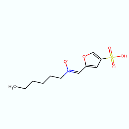 CCCCCC[N+]([O-])=Cc1cc(S(=O)(=O)O)co1